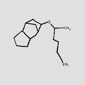 CCCCC(C)OC1CC2CC1C1CCCC21